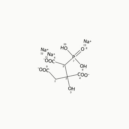 O=C([O-])CC(O)(C(=O)[O-])C(C(=O)[O-])P(=O)(O)O.[Na+].[Na+].[Na+]